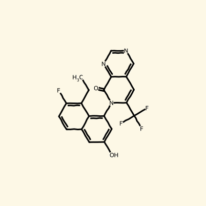 CCc1c(F)ccc2cc(O)cc(-n3c(C(F)(F)F)cc4cncnc4c3=O)c12